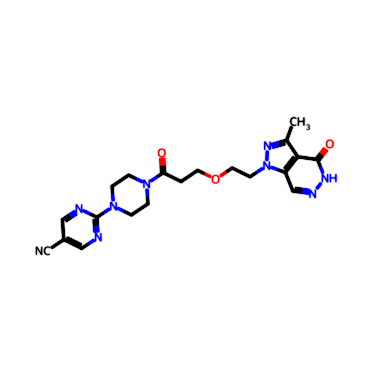 Cc1nn(CCOCCC(=O)N2CCN(c3ncc(C#N)cn3)CC2)c2cn[nH]c(=O)c12